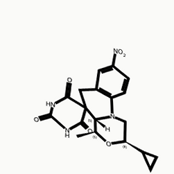 C[C@@H]1O[C@H](C2CC2)CN2c3ccc([N+](=O)[O-])cc3CC3(C(=O)NC(=O)NC3=O)[C@@H]12